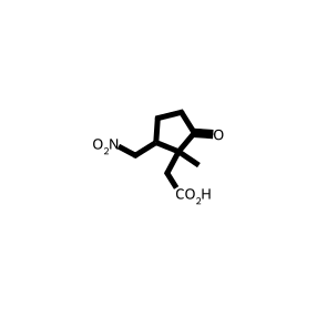 CC1(CC(=O)O)C(=O)CCC1C[N+](=O)[O-]